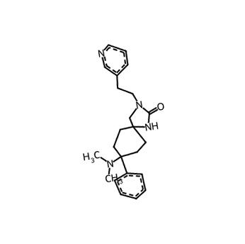 CN(C)C1(c2ccccc2)CCC2(CC1)CN(CCc1cccnc1)C(=O)N2